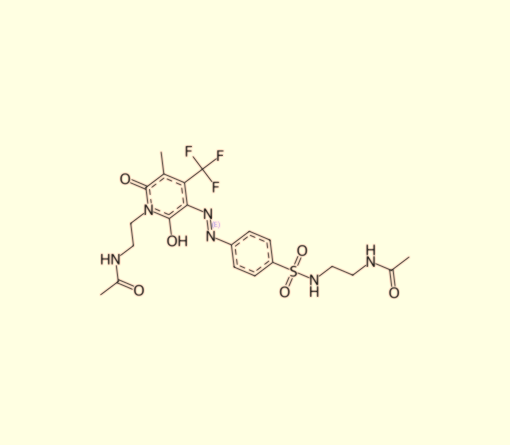 CC(=O)NCCNS(=O)(=O)c1ccc(/N=N/c2c(C(F)(F)F)c(C)c(=O)n(CCNC(C)=O)c2O)cc1